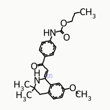 CCCOC(=O)Nc1ccc(C(=O)/C=C2\NC(C)(C)Cc3ccc(OC)cc32)cc1